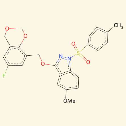 COc1ccc2c(c1)c(OCc1cc(F)cc3c1OCOC3)nn2S(=O)(=O)c1ccc(C)cc1